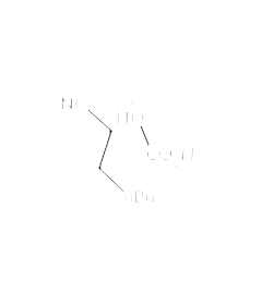 CCCCCCC#N.O=C(O)O